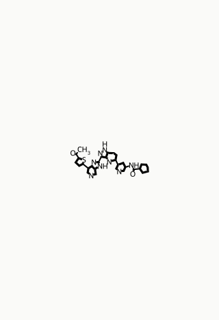 CC(=O)c1ccc(-c2cncc3[nH]c(-c4n[nH]c5ccc(-c6cncc(NC(=O)c7ccccc7)c6)nc45)nc23)s1